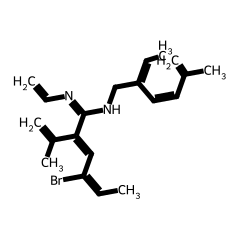 C=C\N=C(NCC(/C=C\C(=C)C)=C/C)/C(=C/C(Br)=C\C)C(=C)C